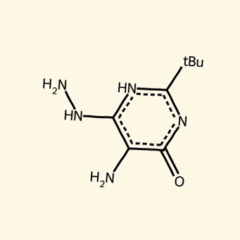 CC(C)(C)c1nc(=O)c(N)c(NN)[nH]1